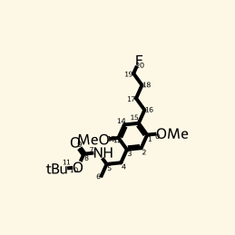 COc1cc(CC(C)NC(=O)OC(C)(C)C)c(OC)cc1CCCCF